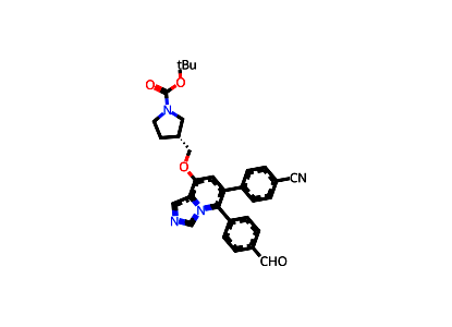 CC(C)(C)OC(=O)N1CC[C@@H](COc2cc(-c3ccc(C#N)cc3)c(-c3ccc(C=O)cc3)n3cncc23)C1